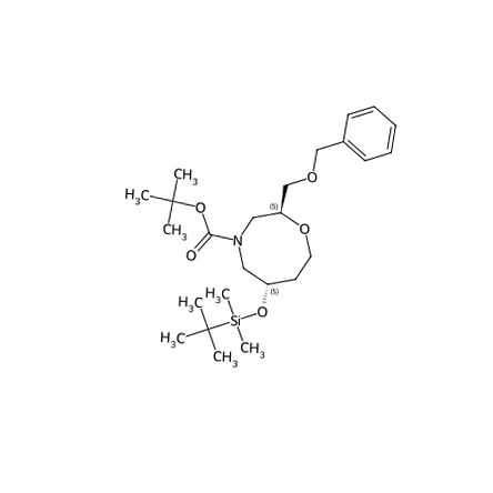 CC(C)(C)OC(=O)N1C[C@@H](COCc2ccccc2)OCC[C@H](O[Si](C)(C)C(C)(C)C)C1